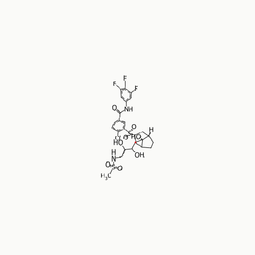 CS(=O)(=O)NCC(O)C(O)C[C@@]1(O)C2CC[C@H]1C[C@H](S(=O)(=O)c1cc(C(=O)Nc3cc(F)c(F)c(F)c3)ccc1Cl)C2